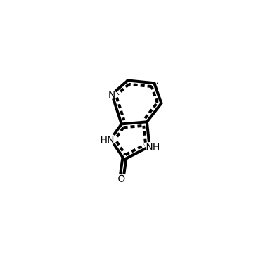 O=c1[nH]c2c[c]cnc2[nH]1